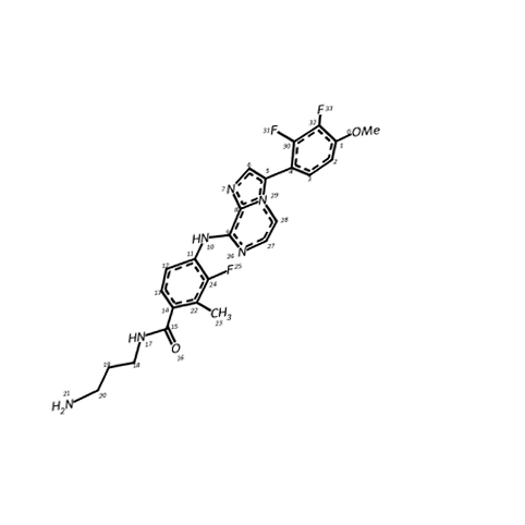 COc1ccc(-c2cnc3c(Nc4ccc(C(=O)NCCCN)c(C)c4F)nccn23)c(F)c1F